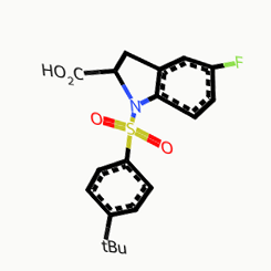 CC(C)(C)c1ccc(S(=O)(=O)N2c3ccc(F)cc3CC2C(=O)O)cc1